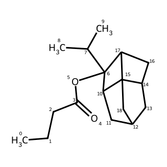 CCCC(=O)OC1(C(C)C)C2CC3CC(C2)CC1C3